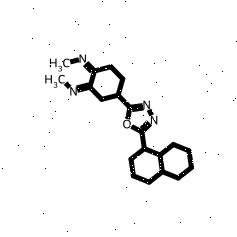 C/N=C1/CCC(c2nnc(C3CCCC4CCCCC43)o2)C/C1=N/C